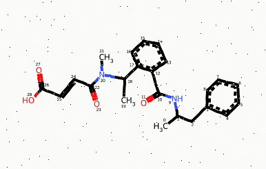 CC(Cc1ccccc1)NC(=O)c1ccccc1C(C)N(C)C(=O)C=CC(=O)O